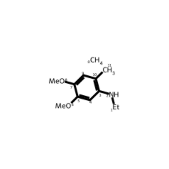 C.CCNc1cc(OC)c(OC)cc1C